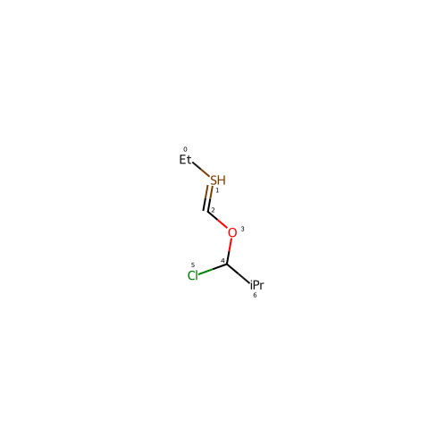 CC[SH]=COC(Cl)C(C)C